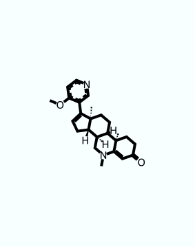 COc1ccncc1C1=CC[C@H]2[C@@H]3CN(C)C4=CC(=O)CC[C@]4(C)[C@H]3CC[C@]12C